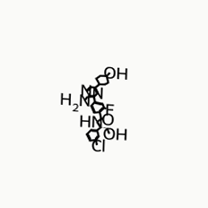 Nc1ncc(C2CCC(O)CC2)nc1-c1ccc(C(=O)N[C@H](CO)c2cccc(Cl)c2)c(F)c1